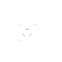 Oc1cc(O)c2c(c1)OC[C@@H](O)C2